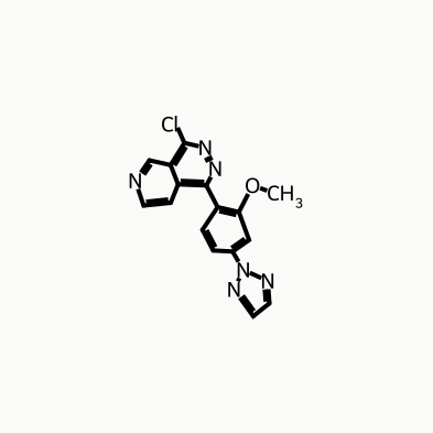 COc1cc(-n2nccn2)ccc1-c1nnc(Cl)c2cnccc12